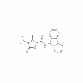 Cc1c(C(C)C)c(=O)on1C(=O)NC1c2ccccc2-c2ccccc21